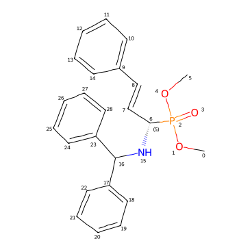 COP(=O)(OC)[C@@H](C=Cc1ccccc1)NC(c1ccccc1)c1ccccc1